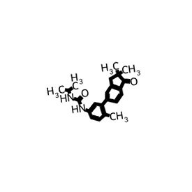 Cc1ccc(NC(=O)NC(C)C)cc1-c1ccc2c(c1)CC(C)(C)C2=O